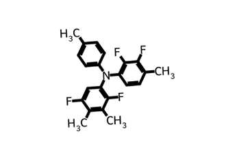 Cc1ccc(N(c2cc(F)c(C)c(C)c2F)c2ccc(C)c(F)c2F)cc1